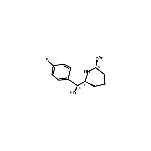 CCC[C@H]1CCC[C@@H]([C@@H](O)c2ccc(F)cc2)N1